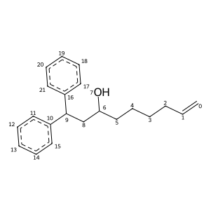 C=CCCCCC(O)CC(c1ccccc1)c1ccccc1